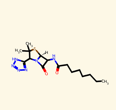 CCCCCCCC(=O)NC1C(=O)N2C(c3nnn[nH]3)C(C)(C)S[C@@H]12